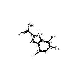 O=C(O)c1cc2c(F)cc(F)c(F)c2[nH]1